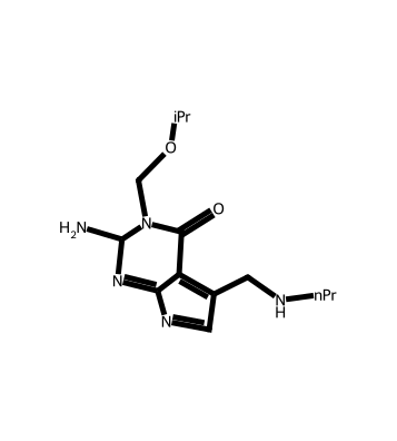 CCCNCC1=C2C(=O)N(COC(C)C)C(N)N=C2N=C1